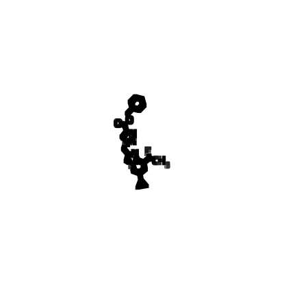 CC(F)c1cc(C2CC2)cn2cc(Cn3cc(C(=O)OCc4ccccc4)nn3)nc12